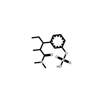 CCC(c1cccc(OS(=O)(=O)O)c1)C(C)C(=O)N(C)C